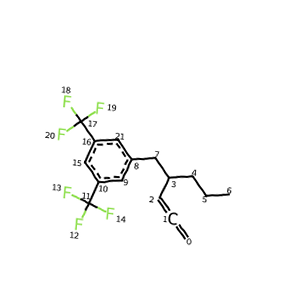 C=C=CC(CCC)Cc1cc(C(F)(F)F)cc(C(F)(F)F)c1